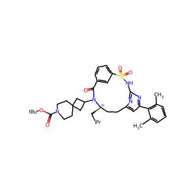 Cc1cccc(C)c1-c1cc2nc(n1)NS(=O)(=O)c1cccc(c1)C(=O)N(C1CC3(CCN(C(=O)OC(C)(C)C)CC3)C1)[C@H](CC(C)C)CC2